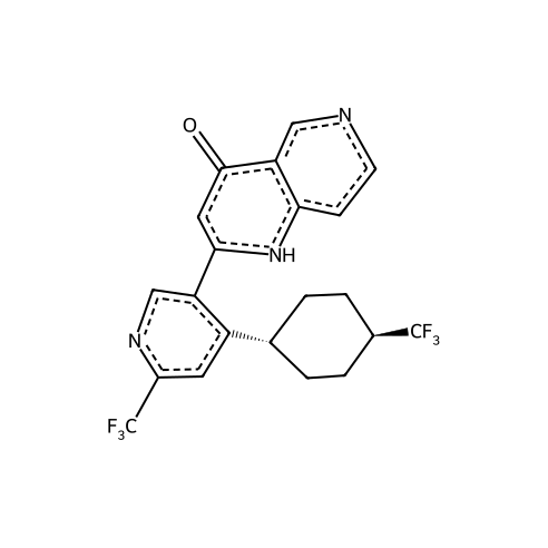 O=c1cc(-c2cnc(C(F)(F)F)cc2[C@H]2CC[C@H](C(F)(F)F)CC2)[nH]c2ccncc12